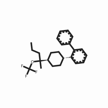 CCCC(C)(OC(F)(F)F)[C@H]1CC[C@H](c2ccccc2-c2ccccc2)CC1